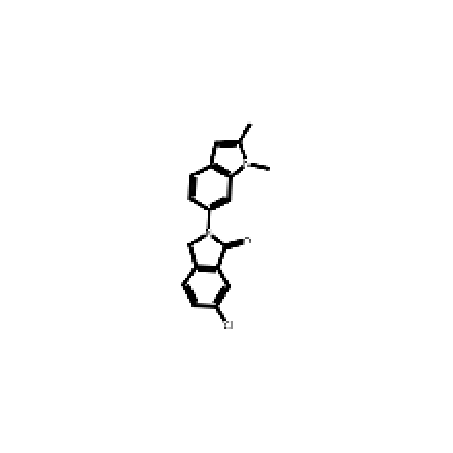 Cc1cc2ccc(N3Cc4ccc(Cl)cc4C3=O)cc2n1C